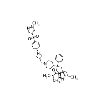 CCC[C@H](CC(Cn1ccnc1)(c1ccccc1)C1CCN(CC2CN(c3ccc(S(=O)(=O)c4cnn(C)c4)cc3)C2)CC1)NC(=O)N(C)C